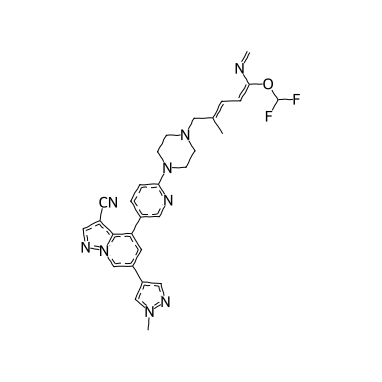 C=N/C(=C\C=C(/C)CN1CCN(c2ccc(-c3cc(-c4cnn(C)c4)cn4ncc(C#N)c34)cn2)CC1)OC(F)F